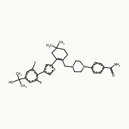 CC1(C)CCC(CN2CCN(c3ccc(C(N)=O)cc3)CC2)=C(c2cc(-c3c(F)cc(C(C)(C)O)cc3F)cs2)C1